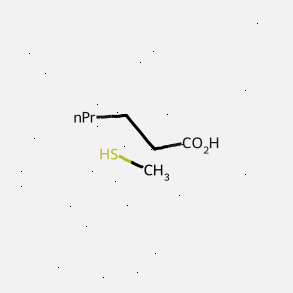 CCCCCC(=O)O.CS